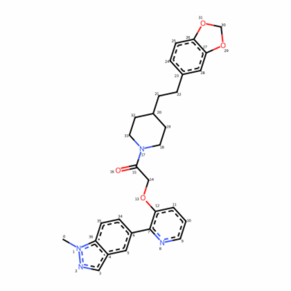 Cn1ncc2cc(-c3ncccc3OCC(=O)N3CCC(CCc4ccc5c(c4)OCO5)CC3)ccc21